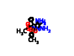 CCOC(=O)C1C(c2ccccc2)c2c(nc(N)c(C#N)c2N)N1S(=O)(=O)c1ccc(C)cc1